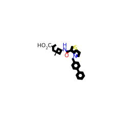 C[C@@H](C[C@]1(C)C[C@H](NC(=O)c2csc3ccn(Cc4ccc(-c5ccccc5)cc4)c23)C1)C(=O)O